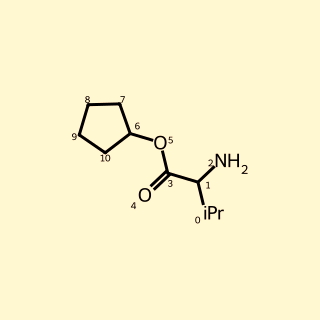 CC(C)C(N)C(=O)OC1CCCC1